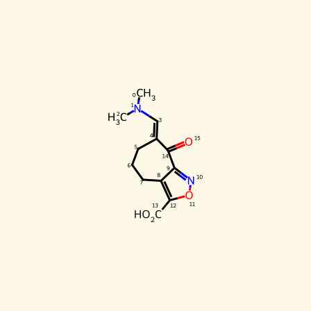 CN(C)/C=C1\CCCc2c(noc2C(=O)O)C1=O